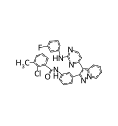 Cc1cccc(C(=O)Nc2cccc(-c3nn4ccccc4c3-c3ccnc(Nc4cccc(F)c4)n3)c2)c1Cl